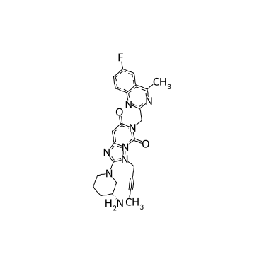 CC#CCn1c(N2CCC[C@@H](N)C2)nc2cc(=O)n(Cc3nc(C)c4cc(F)ccc4n3)c(=O)n21